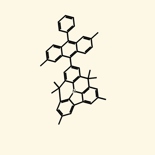 Cc1ccc2c(-c3cc4c5c(c3)C(C)(C)c3cc(C)cc6c7cc(C)cc(c7n-5c36)C4(C)C)c3cc(C)ccc3c(-c3ccccc3)c2c1